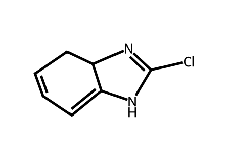 ClC1=NC2CC=CC=C2N1